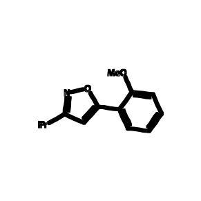 COc1ccccc1-c1cc(C(C)C)no1